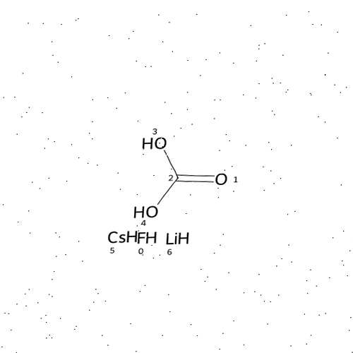 F.O=C(O)O.[CsH].[LiH]